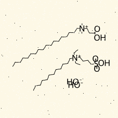 CCCCCCCCCCCCCCCCCC[N+](C)(C)CCC(=O)O.CCCCCCCCCCCC[N+](CC)(CC)CCCCS(=O)(=O)O.[OH-].[OH-]